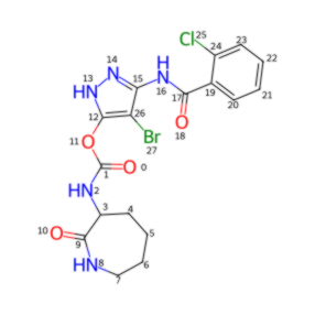 O=C(NC1CCCCNC1=O)Oc1[nH]nc(NC(=O)c2ccccc2Cl)c1Br